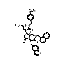 C=CCN(C(=O)NCc1ccc(OC)cc1)N1CC(=O)N2[C@@H](Cc3ccc4occc4c3)C(=O)N(Cc3cccc4ccccc34)C[C@@H]21